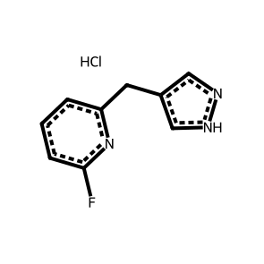 Cl.Fc1cccc(Cc2cn[nH]c2)n1